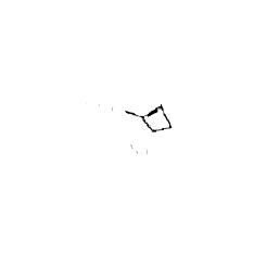 O=C([O-])C1=CCC1.[Na+]